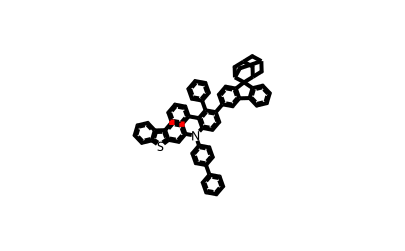 c1ccc(-c2ccc(N(c3ccc4c(c3)sc3ccccc34)c3ccc(-c4ccc5c(c4)-c4ccccc4C54C5CC6CC(C5)CC4C6)c(-c4ccccc4)c3-c3ccccc3)cc2)cc1